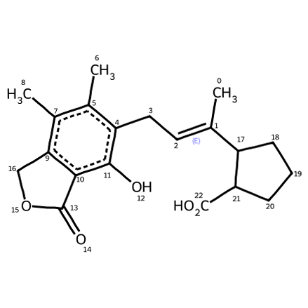 C/C(=C\Cc1c(C)c(C)c2c(c1O)C(=O)OC2)C1CCCC1C(=O)O